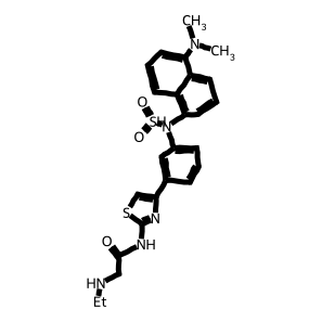 CCNCC(=O)Nc1nc(-c2cccc(N(c3cccc4c(N(C)C)cccc34)[SH](=O)=O)c2)cs1